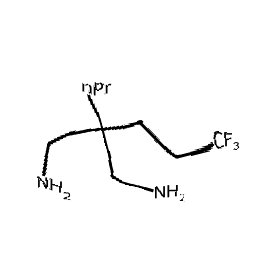 CCCC(CN)(CN)CCC(F)(F)F